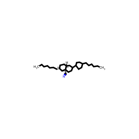 CCCCCCC[C@@H]1CC[C@@H]2CC(C3CCC(CCCCCC)CC3)CC[C@]2(C#N)C1